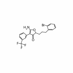 NC1=C(c2cccc(C(F)(F)F)c2)C(=O)C(CCCc2ccccc2Br)O1